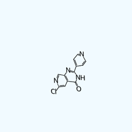 O=c1[nH]c(-c2ccncc2)nc2cnc(Cl)cc12